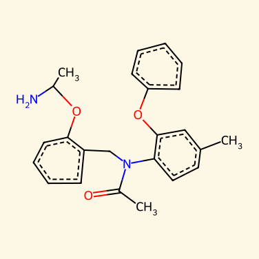 CC(=O)N(Cc1ccccc1OC(C)N)c1ccc(C)cc1Oc1ccccc1